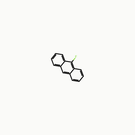 Fc1c2c[c]ccc2cc2ccccc12